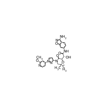 COc1cc(-n2ccc(N3CC(C)(C)O[C@H]([C@@H](O)C(=O)Nc4ccc5c(N)noc5c4)C3=O)n2)ccn1